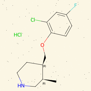 C[C@H]1CNCC[C@H]1COc1ccc(F)cc1Cl.Cl